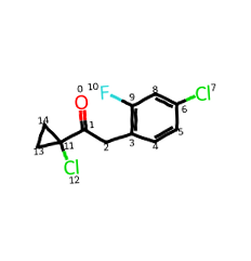 O=C(Cc1ccc(Cl)cc1F)C1(Cl)CC1